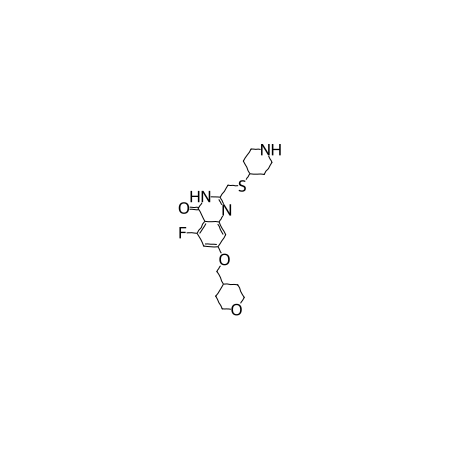 O=c1[nH]c(CSC2CCNCC2)nc2cc(OCC3CCOCC3)cc(F)c12